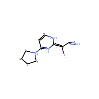 N=C/C(I)=C1/N=C(N2CCCC2)C=CN1